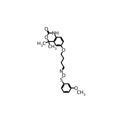 COc1cccc(SON=CCCCOc2ccc3c(c2)C(C)(C)OC(=O)N3)c1